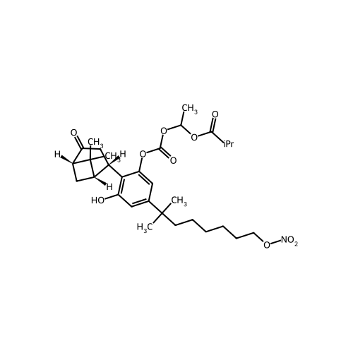 CC(OC(=O)Oc1cc(C(C)(C)CCCCCCO[N+](=O)[O-])cc(O)c1[C@H]1CC(=O)[C@H]2C[C@@H]1C2(C)C)OC(=O)C(C)C